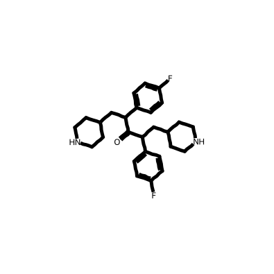 O=C(C(CC1CCNCC1)c1ccc(F)cc1)C(CC1CCNCC1)c1ccc(F)cc1